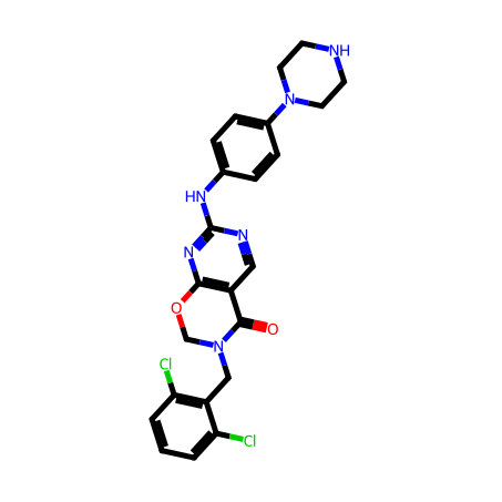 O=C1c2cnc(Nc3ccc(N4CCNCC4)cc3)nc2OCN1Cc1c(Cl)cccc1Cl